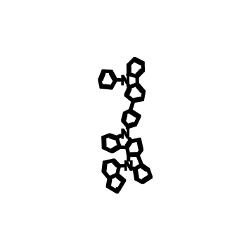 c1ccc(-n2c3ccccc3c3ccc(-c4ccc(-n5c6ccccc6c6c5ccc5c7ccccc7n(-c7cccc8ccccc78)c56)cc4)cc32)cc1